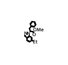 CCc1ccc2cnn(C(Cc3ccccc3)C(=O)OC)c2c1